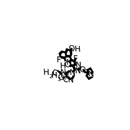 C#Cc1c(F)ccc2cc(O)cc(-c3ncc4c(N5CCC[C@](C)(C#N)[C@@H](NC(=O)C=C)C5)nc(OCC56CCCN5CCC6)nc4c3F)c12